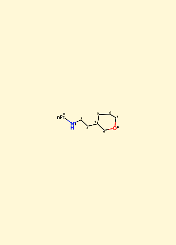 CCCNCCC1CCCOC1